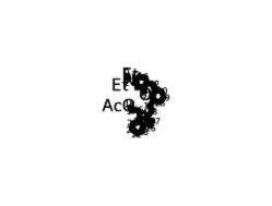 CCN(CC)c1ccc2c(c1)OC1=C(C=CC3N(CCOC(C)=O)c4ccccc4C3(C)C)CCCC1=C2